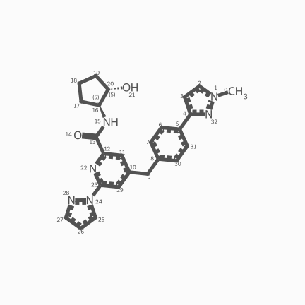 Cn1ccc(-c2ccc(Cc3cc(C(=O)N[C@H]4CCC[C@@H]4O)nc(-n4cccn4)c3)cc2)n1